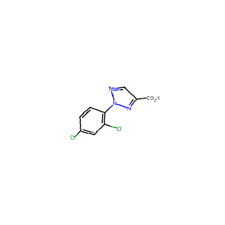 O=C(O)c1cnn(-c2ccc(Cl)cc2Cl)n1